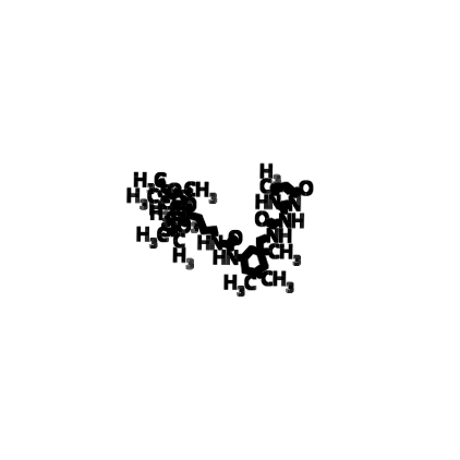 Cc1cc(=O)nc(NC(=O)NCC2(C)CC(NC(=O)NCCC[Si](C)(O[Si](C)(C)C)O[Si](C)(C)O[Si](C)(C)C)CC(C)(C)C2)[nH]1